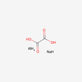 O=C(O)C(=O)O.[AlH3].[NaH]